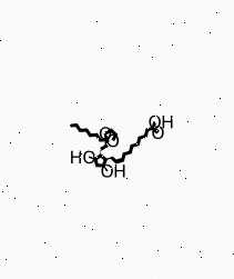 CCCCCCCC1(CC[C@@H]2[C@@H](C/C=C\CCCCCCCC(=O)O)[C@@H](O)C[C@H]2O)OCCO1